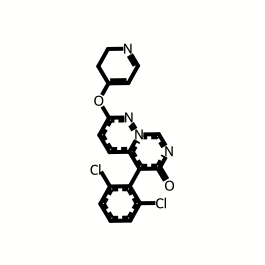 O=c1ncn2nc(OC3=CC=NCC3)ccc2c1-c1c(Cl)cccc1Cl